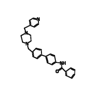 O=C(Nc1ccc(-c2ccc(CN3CCN(Cc4ccncc4)CC3)cc2)cc1)c1ccccc1